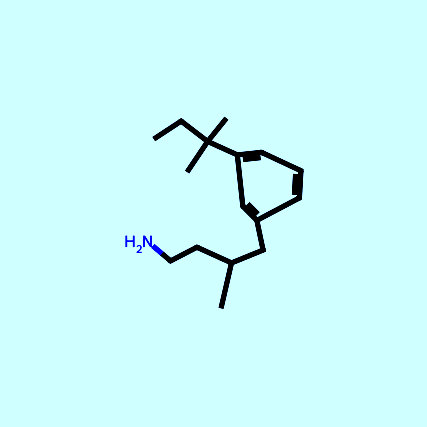 CCC(C)(C)c1cccc(CC(C)CCN)c1